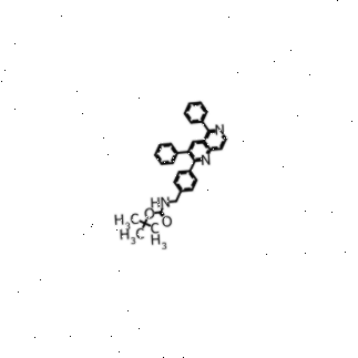 CC(C)(C)OC(=O)NCc1ccc(-c2nc3ccnc(-c4ccccc4)c3cc2-c2ccccc2)cc1